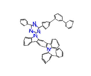 c1ccc(-c2cccc(-c3ccc(-c4nc(-c5ccccc5)nc(-n5c6ccccc6c6cc7c(cc65)c5ccccc5n7-c5ccccc5-c5ccccc5)n4)cc3)c2)cc1